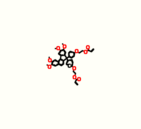 C=CC(=O)OCCOc1ccc(C2(c3ccc(OCCOC(=O)C=C)cc3)c3cc(OC)c(OC)cc3-c3c2ccc2cc(OC)c(OC)cc32)cc1